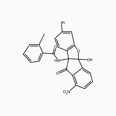 Cc1ccccc1C(=O)NC12C(=O)c3c([N+](=O)[O-])cccc3C1(O)Oc1cc(C(C)C)ccc12